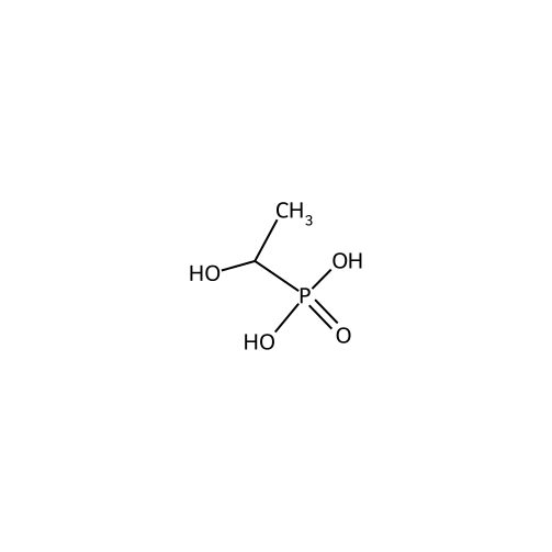 CC(O)P(=O)(O)O